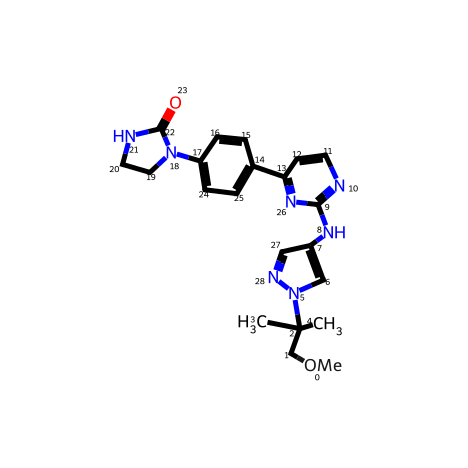 COCC(C)(C)n1cc(Nc2nccc(-c3ccc(N4CCNC4=O)cc3)n2)cn1